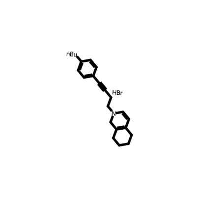 Br.CCCCc1ccc(C#CCCN2C=CC3=C(CCCC3)C2)cc1